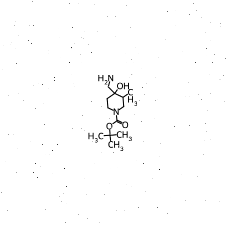 CC1CN(C(=O)OC(C)(C)C)CCC1(O)CN